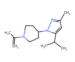 C=C(C)N1CCC(n2nc(C)cc2C(C)C)CC1